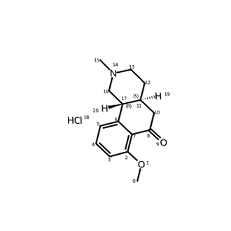 COc1cccc2c1C(=O)C[C@@H]1CCN(C)C[C@@H]21.Cl